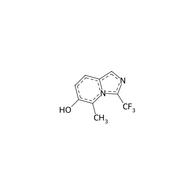 Cc1c(O)ccc2cnc(C(F)(F)F)n12